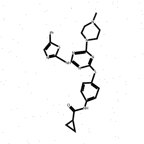 CC(C)c1cnc(Nc2nc(Sc3ccc(NC(=O)C4CC4)cc3)nc(N3CCN(C)CC3)n2)s1